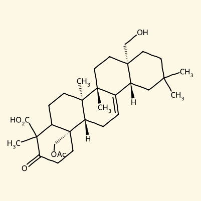 CC(=O)OC[C@]12CCC(=O)C(C)(C(=O)O)C1CC[C@]1(C)[C@@H]2CC=C2[C@H]3CC(C)(C)CC[C@]3(CO)CC[C@]21C